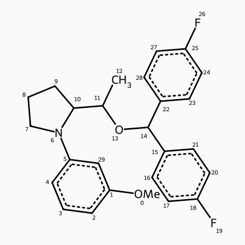 COc1cccc(N2CCCC2C(C)OC(c2ccc(F)cc2)c2ccc(F)cc2)c1